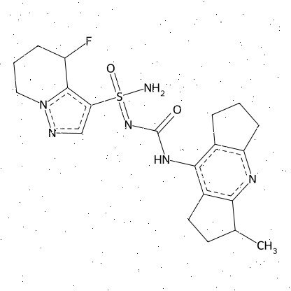 CC1CCc2c1nc1c(c2NC(=O)N=S(N)(=O)c2cnn3c2C(F)CCC3)CCC1